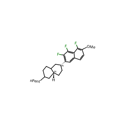 CCCCCC1CCC2C[C@H](c3cc4ccc(OC)c(F)c4c(F)c3F)CC[C@@H]2C1